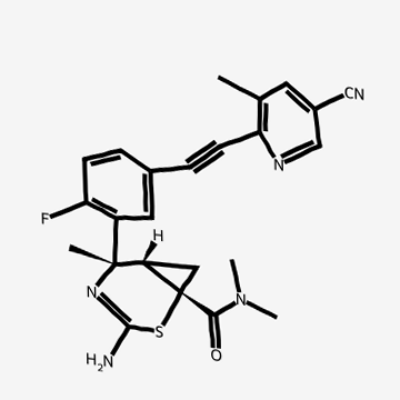 Cc1cc(C#N)cnc1C#Cc1ccc(F)c([C@@]2(C)N=C(N)S[C@@]3(C(=O)N(C)C)C[C@H]32)c1